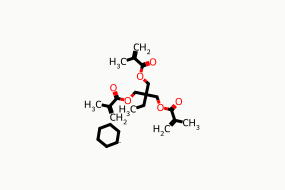 C=C(C)C(=O)OCC(CC)(COC(=O)C(=C)C)COC(=O)C(=C)C.[CH]1CCCCC1